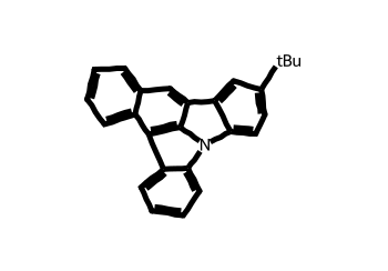 CC(C)(C)c1ccc2c(c1)c1cc3ccccc3c3c4ccccc4n2c13